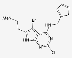 CNCCc1[nH]c2nc(Cl)nc(NCC3=CC=CC3)c2c1Br